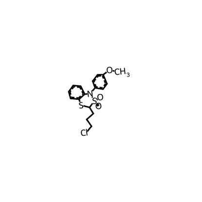 COc1ccc(N2c3ccccc3SC(CCCCl)S2(=O)=O)cc1